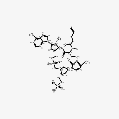 C=CCCC(=O)N(C)[C@H](CO)C(=O)O[C@H]1[C@@H](O)[C@H](n2cnc3c(N)ncnc32)O[C@H]1COP(=O)(O)O[C@H]1C[C@H](n2ccc(N)nc2=O)O[C@@H]1COP(=O)(O)O